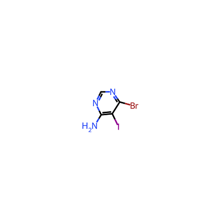 Nc1ncnc(Br)c1I